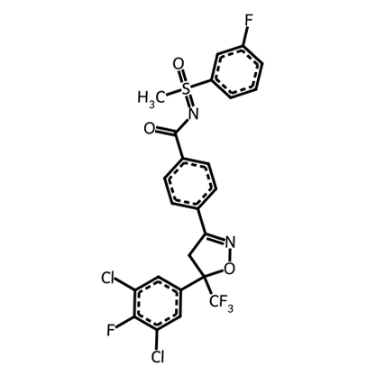 CS(=O)(=NC(=O)c1ccc(C2=NOC(c3cc(Cl)c(F)c(Cl)c3)(C(F)(F)F)C2)cc1)c1cccc(F)c1